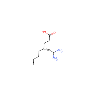 CCCCCCC(N)N.CCCCCCCC(=O)O